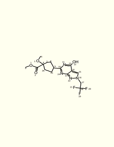 COC(=O)C1(OC)CCC(c2nc(O)c3cn(CC(F)(F)F)nc3n2)CC1